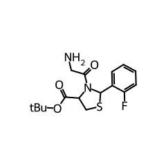 CC(C)(C)OC(=O)C1CSC(c2ccccc2F)N1C(=O)CN